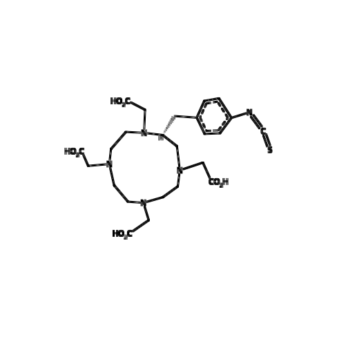 O=C(O)CN1CCN(CC(=O)O)CCN(CC(=O)O)[C@H](Cc2ccc(N=C=S)cc2)CN(CC(=O)O)CC1